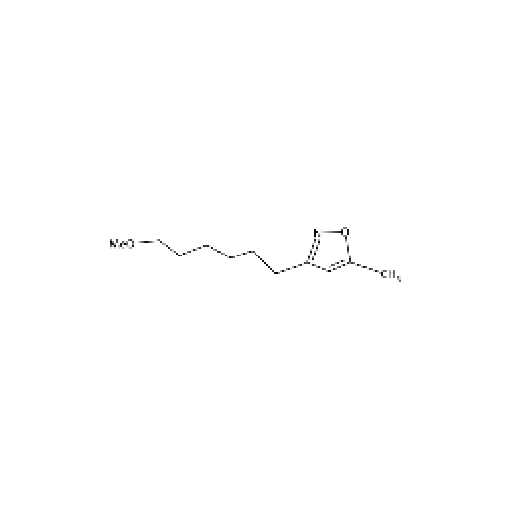 COCCCCCCc1cc(C)on1